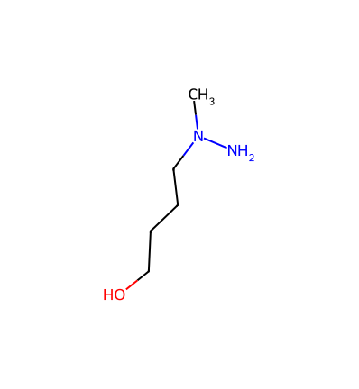 CN(N)CCCCO